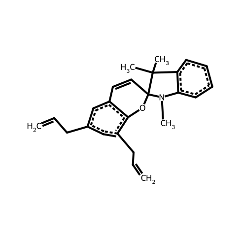 C=CCc1cc2c(c(CC=C)c1)OC1(C=C2)N(C)c2ccccc2C1(C)C